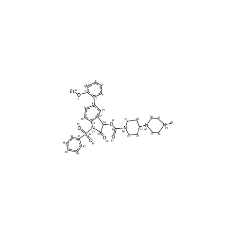 CCOc1ncccc1-c1ccc2c(c1)C(OC(=O)N1CCC(N3CCN(C)CC3)CC1)C(=O)N2S(=O)(=O)c1ccccc1